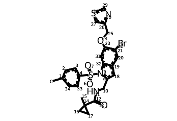 Cc1ccc(S(=O)(=O)n2c(CNC(=O)C3(C)CC3)cc3cc(Br)c(OCc4cscn4)cc32)cc1